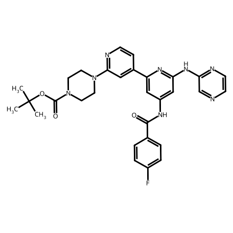 CC(C)(C)OC(=O)N1CCN(c2cc(-c3cc(NC(=O)c4ccc(F)cc4)cc(Nc4cnccn4)n3)ccn2)CC1